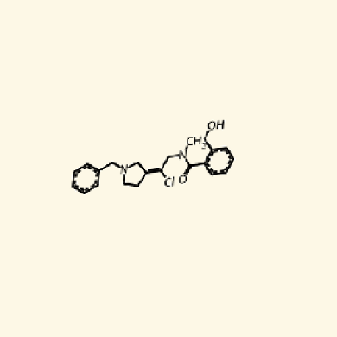 CN(C/C(Cl)=C1/CCN(Cc2ccccc2)C1)C(=O)c1ccccc1CO